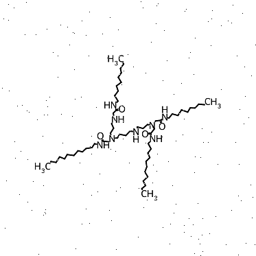 CCCCCCCCCCCCNC(=O)CN(CCCCNCCCN(CC(=O)NCCCCCCCCCC)CC(=O)NCCCCCCCCCCCC)CCCNCC(=O)NCCCCCCCCCC